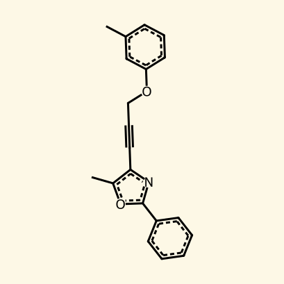 Cc1cccc(OCC#Cc2nc(-c3ccccc3)oc2C)c1